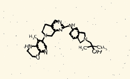 Cc1c(N2CCc3cnc(Nc4ccc5c(c4)CN(CC(C)(C)O)C5)nc3C2)cnc2c1NCCO2